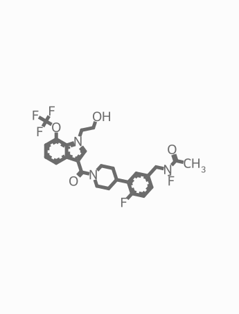 CC(=O)N(F)Cc1ccc(F)c(C2CCN(C(=O)c3cn(CCO)c4c(OC(F)(F)F)cccc34)CC2)c1